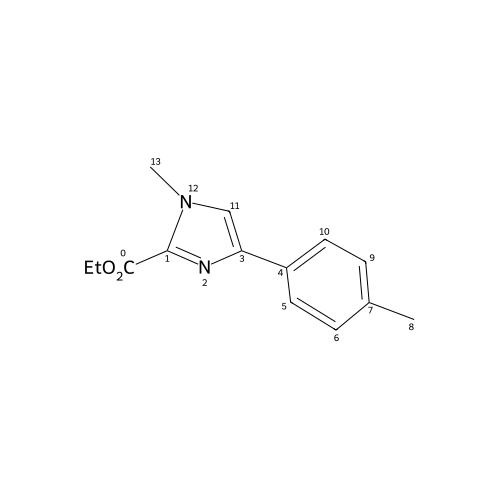 CCOC(=O)c1nc(-c2ccc(C)cc2)cn1C